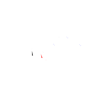 B[PH]1(O)OCC2OC(n3ccc(N)nc3=O)[C@@H](O)[C@@H]2O1